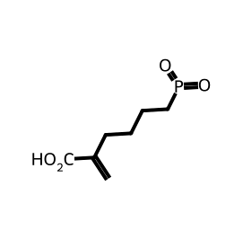 C=C(CCCCP(=O)=O)C(=O)O